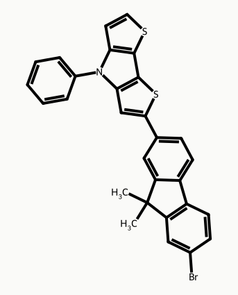 CC1(C)c2cc(Br)ccc2-c2ccc(-c3cc4c(s3)c3sccc3n4-c3ccccc3)cc21